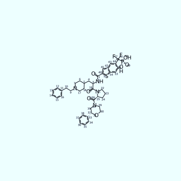 O=C(NC(CC1CCN(CCc2ccccc2)CC1)C(=O)N1CCC[C@H]1C(=O)N1CCO[C@H](c2ccccc2)C1)c1cc2cc(C(F)(F)P(=O)(O)O)ccc2s1